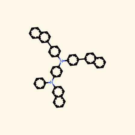 c1ccc(N(c2ccc(N(c3ccc(-c4ccc5ccccc5c4)cc3)c3ccc(-c4ccc5ccccc5c4)cc3)cc2)c2ccc3ccccc3c2)cc1